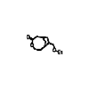 CCOCC1CC2CC(=O)OCCC1C2